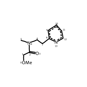 COCC(=O)N(C)CCc1ccccn1